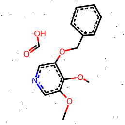 COc1cncc(OCc2ccccc2)c1OC.O=CO